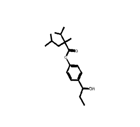 CCC(O)c1ccc(OC(=O)C(C)(CC(C)C)C(C)C)cc1